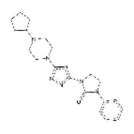 O=C1N(c2ccccc2)CCN1c1nnc(N2CCN(C3CCCC3)CC2)s1